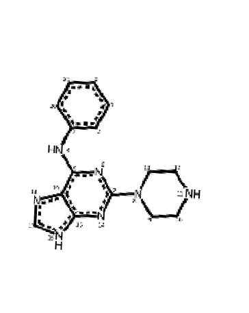 c1ccc(Nc2nc(N3CCNCC3)nc3[nH]cnc23)cc1